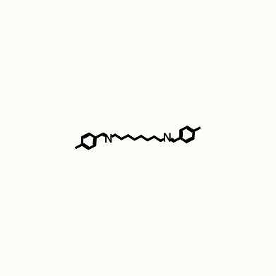 Cc1ccc(/C=N/CCCCCCCC/N=C/c2ccc(C)cc2)cc1